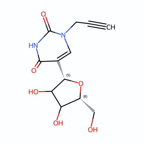 C#CCn1cc([C@@H]2O[C@H](CO)C(O)C2O)c(=O)[nH]c1=O